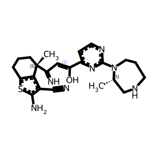 C[C@H]1CNCCCN1c1nccc(/C(O)=C/C(=N)[C@@]2(C)CCCc3sc(N)c(C#N)c32)n1